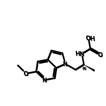 COc1cc2ccn(C[C@@H](C)NC(=O)O)c2cn1